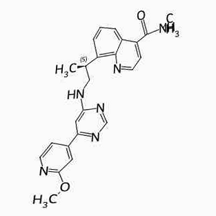 CNC(=O)c1ccnc2c([C@H](C)CNc3cc(-c4ccnc(OC)c4)ncn3)cccc12